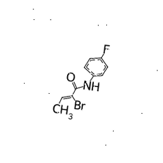 CC=C(Br)C(=O)Nc1ccc(F)cc1